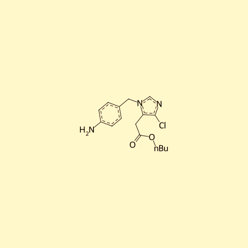 CCCCOC(=O)Cc1c(Cl)ncn1Cc1ccc(N)cc1